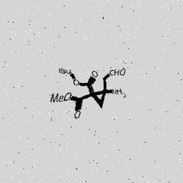 COC(=O)C1(C(=O)OC(C)(C)C)CC1(N)CC=O